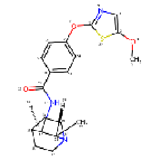 COc1cnc(Oc2ccc(C(=O)N[C@@H]3C4CCN(CC4)[C@H]3C)cc2)s1